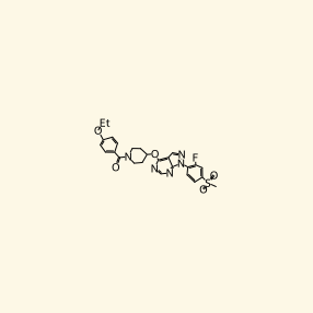 CCOc1ccc(C(=O)N2CCC(Oc3ncnc4c3cnn4-c3ccc(S(C)(=O)=O)cc3F)CC2)cc1